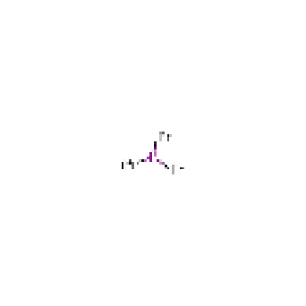 CC(C)P(C(C)C)C(C)C